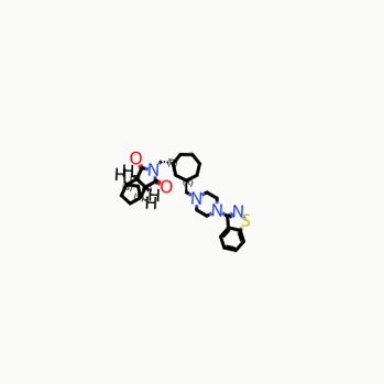 O=C1[C@@H]2[C@H]3CC[C@@H](C3)[C@@H]2C(=O)N1C[C@@H]1CCCC[C@@H](CN2CCN(c3nsc4ccccc34)CC2)C1